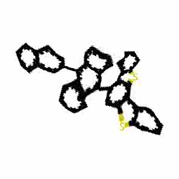 c1ccc2cc(-c3c4ccccc4c(-c4cc5sc6ccccc6c5c5sc6ccccc6c45)c4ccccc34)ccc2c1